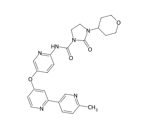 Cc1ccc(-c2cc(Oc3ccc(NC(=O)N4CCN(C5CCOCC5)C4=O)nc3)ccn2)cn1